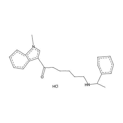 CC(NCCCCCC(=O)c1cn(C)c2ccccc12)c1ccccc1.Cl